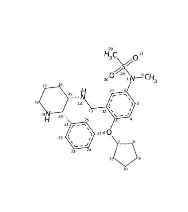 CN(c1ccc(OC2CCCC2)c(CN[C@H]2CCCN[C@H]2c2ccccc2)c1)S(C)(=O)=O